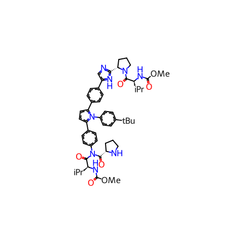 COC(=O)N[C@H](C(=O)N(C(=O)[C@@H]1CCCN1)c1ccc(-c2ccc(-c3ccc(-c4cnc([C@@H]5CCCN5C(=O)[C@@H](NC(=O)OC)C(C)C)[nH]4)cc3)n2-c2ccc(C(C)(C)C)cc2)cc1)C(C)C